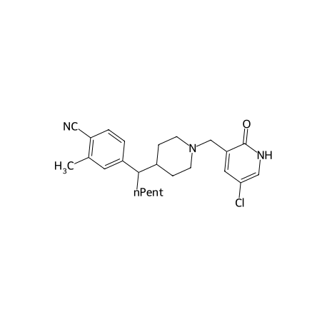 CCCCCC(c1ccc(C#N)c(C)c1)C1CCN(Cc2cc(Cl)c[nH]c2=O)CC1